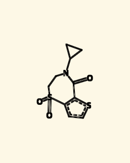 O=C1c2sccc2S(=O)(=O)CCN1C1CC1